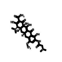 CC[C@@]12C[C@@H]3Cc4c(OC(F)(F)F)cc(NC(=O)CN(C)C)c(O)c4C(=O)C3=C(O)[C@]1(O)C(=O)C(C(N)=O)=C(O)[C@H]2N(C)C